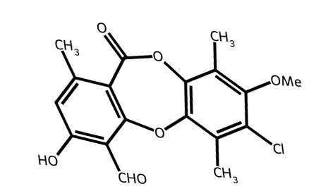 COc1c(C)c2c(c(C)c1Cl)Oc1c(C=O)c(O)cc(C)c1C(=O)O2